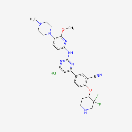 COc1nc(Nc2nccc(-c3ccc(OC4CCNCC4(F)F)c(C#N)c3)n2)ccc1N1CCN(C)CC1.Cl